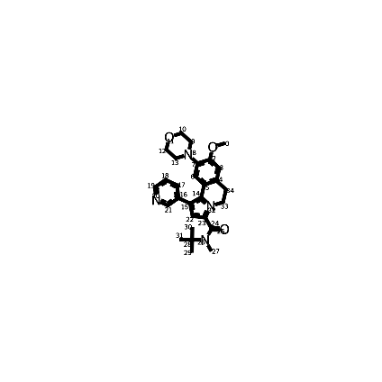 COc1cc2c(cc1N1CCOCC1)-c1c(-c3cccnc3)cc(C(=O)N(C)C(C)(C)C)n1CC2